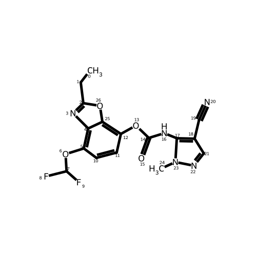 CCc1nc2c(OC(F)F)ccc(OC(=O)Nc3c(C#N)cnn3C)c2o1